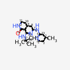 Cc1ccnc(Nc2cc3cc[nH]c(=O)c3c(NC(C)(C)C)n2)c1